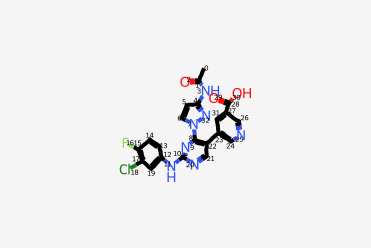 CC(=O)Nc1ccn(-c2nc(Nc3ccc(F)c(Cl)c3)ncc2-c2cncc(C(=O)O)c2)n1